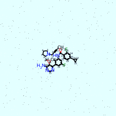 CC#CCN1CCC[C@H]1COc1c(N)ncnc1-c1cc(F)cc(NC(=O)c2ccc(C3CC3)cc2F)c1C